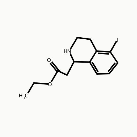 CCOC(=O)CC1NCCc2c(I)cccc21